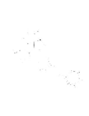 CC(C)(C)OC(=O)N1[C@@H](c2cccc(OCc3ccccc3F)c2)CC[C@]12CCNC2=O